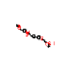 C=CC(=O)OCCc1ccc(OC(=O)CCc2ccc(-c3ccc(OCCCCOC(O)C(=C)C)cc3)cc2)cc1